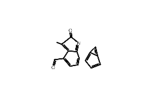 CC1=c2c(C=O)cccc2=NC1=O.c1cc2cc-2c1